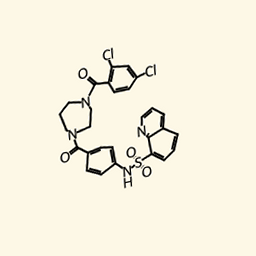 O=C(c1ccc(NS(=O)(=O)c2cccc3cccnc23)cc1)N1CCCN(C(=O)c2ccc(Cl)cc2Cl)CC1